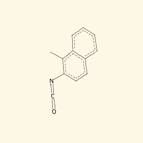 Cc1c(N=C=O)ccc2ccccc12